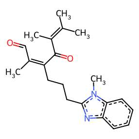 CC(C)=C(C)C(=O)/C(CCCc1nc2ccccc2n1C)=C(/C)C=O